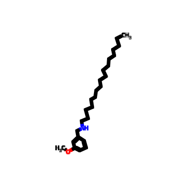 CCCCCCCCCCCCCCCCCCNCc1cccc(OC)c1